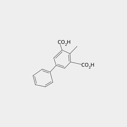 Cc1c(C(=O)O)cc(-c2ccccc2)cc1C(=O)O